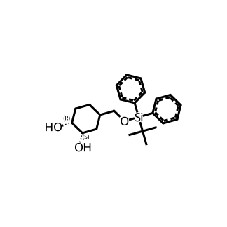 CC(C)(C)[Si](OCC1CC[C@@H](O)[C@@H](O)C1)(c1ccccc1)c1ccccc1